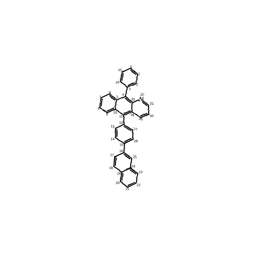 c1ccc(-c2c3ccccc3c(-c3ccc(-c4ccc5ccccc5c4)cc3)c3cccnc23)cc1